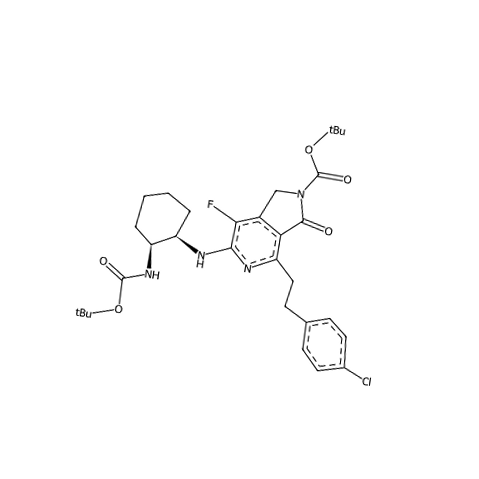 CC(C)(C)OC(=O)N[C@H]1CCCC[C@H]1Nc1nc(CCc2ccc(Cl)cc2)c2c(c1F)CN(C(=O)OC(C)(C)C)C2=O